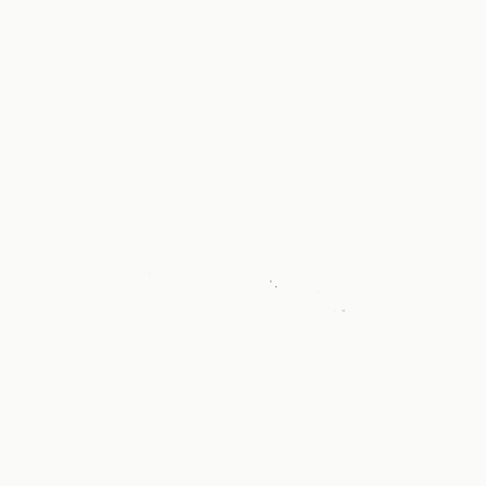 COc1ccc(C(C=Cc2ccccc2)[SH](=O)=O)cc1NCC(=O)O